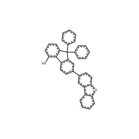 Oc1cccc2c1-c1ccc(-c3ccc4oc5ccccc5c4c3)cc1C2(c1ccccc1)c1ccccc1